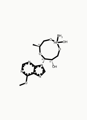 B[PH]1(O)OC[C@H](C)O[C@@H](n2cnc3c(OC)ncnc32)[C@@H](O)CO1